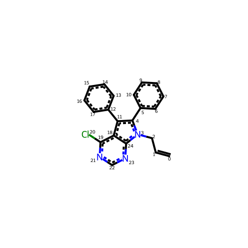 C=CCn1c(-c2ccccc2)c(-c2ccccc2)c2c(Cl)ncnc21